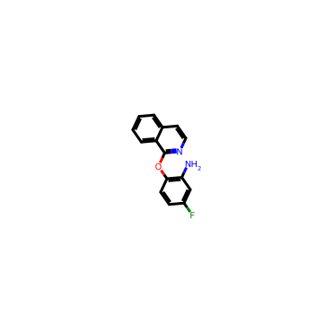 Nc1cc(F)ccc1Oc1nccc2ccccc12